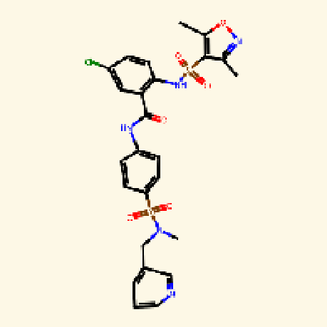 Cc1noc(C)c1S(=O)(=O)Nc1ccc(Cl)cc1C(=O)Nc1ccc(S(=O)(=O)N(C)Cc2cccnc2)cc1